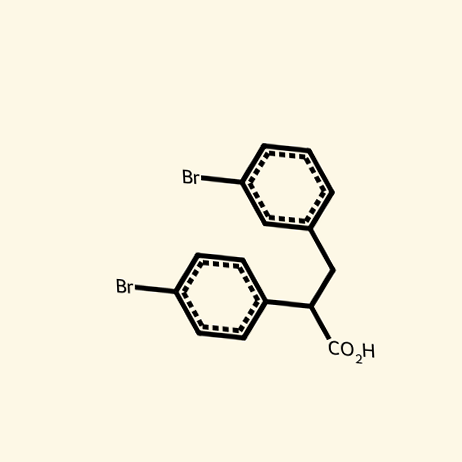 O=C(O)C(Cc1cccc(Br)c1)c1ccc(Br)cc1